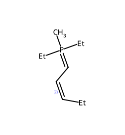 CC/C=C\C=P(C)(CC)CC